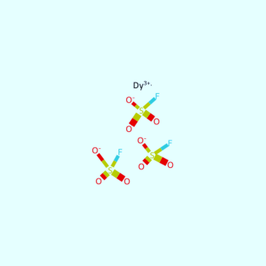 O=S(=O)([O-])F.O=S(=O)([O-])F.O=S(=O)([O-])F.[Dy+3]